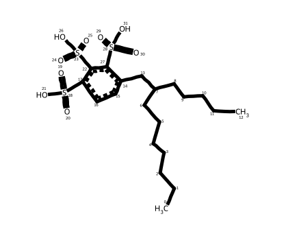 CCCCCCCC(CCCCC)Cc1ccc(S(=O)(=O)O)c(S(=O)(=O)O)c1S(=O)(=O)O